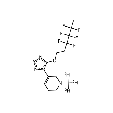 [2H]C([2H])([2H])N1CCC=C(c2nsnc2OCCC(F)(F)C(F)(F)C(C)(F)F)C1